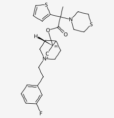 CC(C(=O)O[C@H]1C[N+]2(CCc3cccc(F)c3)CCC1CC2)(c1cccs1)N1CCSCC1